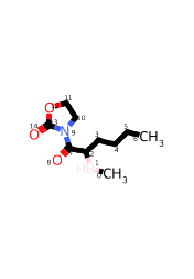 CBC(CCCC)C(=O)N1CCOC1=O